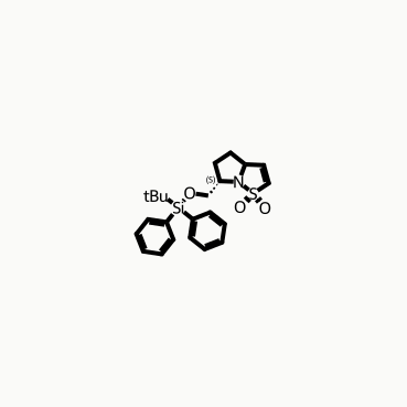 CC(C)(C)[Si](OC[C@@H]1CCC2C=CS(=O)(=O)N21)(c1ccccc1)c1ccccc1